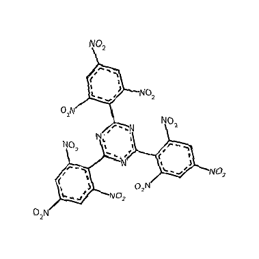 O=[N+]([O-])c1cc([N+](=O)[O-])c(-c2nc(-c3c([N+](=O)[O-])cc([N+](=O)[O-])cc3[N+](=O)[O-])nc(-c3c([N+](=O)[O-])cc([N+](=O)[O-])cc3[N+](=O)[O-])n2)c([N+](=O)[O-])c1